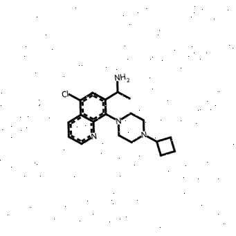 CC(N)c1cc(Cl)c2cccnc2c1N1CCN(C2CCC2)CC1